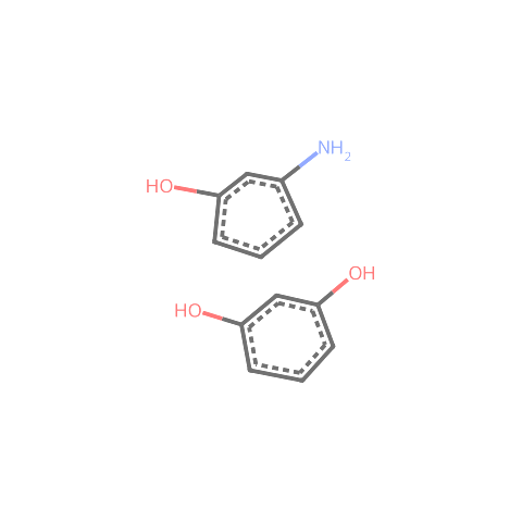 Nc1cccc(O)c1.Oc1cccc(O)c1